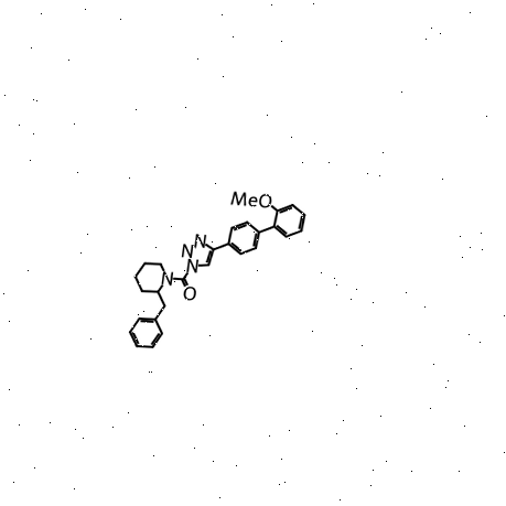 COc1ccccc1-c1ccc(-c2cn(C(=O)N3CCCCC3Cc3ccccc3)nn2)cc1